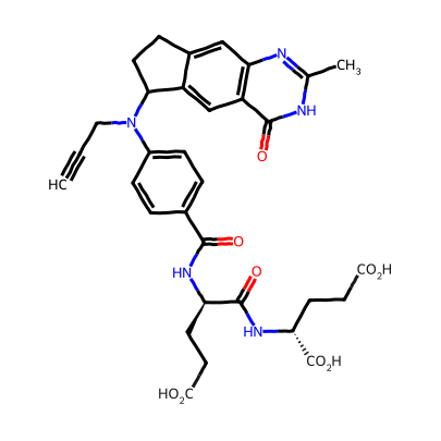 C#CCN(c1ccc(C(=O)N[C@H](CCC(=O)O)C(=O)N[C@H](CCC(=O)O)C(=O)O)cc1)C1CCc2cc3nc(C)[nH]c(=O)c3cc21